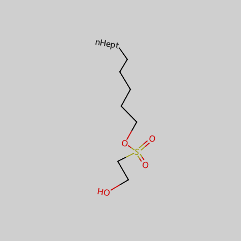 CCCCCCCCCCCCOS(=O)(=O)CCO